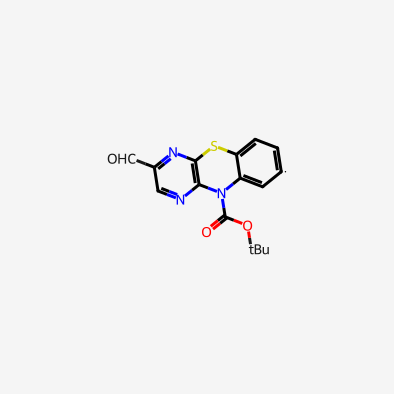 CC(C)(C)OC(=O)N1c2c[c]ccc2Sc2nc(C=O)cnc21